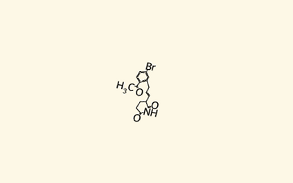 CC(=O)c1ccc(Br)cc1C/C=C/C1CCC(=O)NC1=O